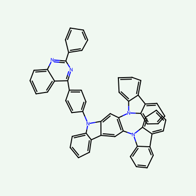 c1ccc(-c2nc(-c3ccc(-n4c5ccccc5c5cc(-n6c7ccccc7c7ccccc76)c(-n6c7ccccc7c7ccccc76)cc54)cc3)c3ccccc3n2)cc1